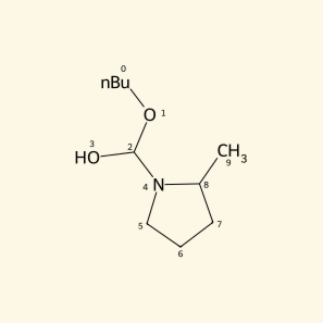 CCCCOC(O)N1CCCC1C